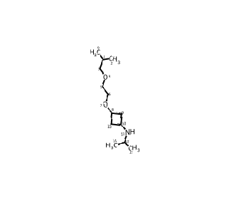 CC(C)COCCO[C@H]1C[C@@H](NC(C)C)C1